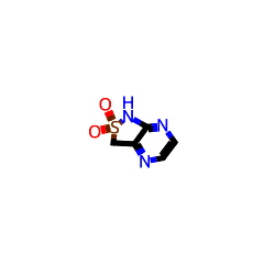 O=S1(=O)Cc2nccnc2N1